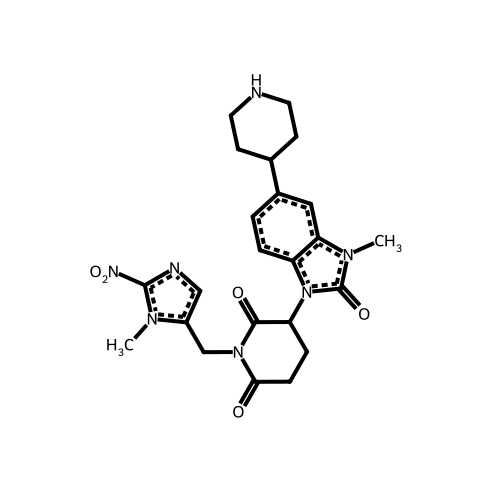 Cn1c(CN2C(=O)CCC(n3c(=O)n(C)c4cc(C5CCNCC5)ccc43)C2=O)cnc1[N+](=O)[O-]